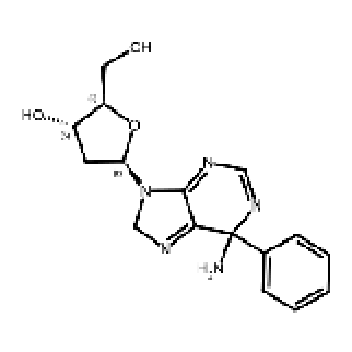 NC1(c2ccccc2)N=CN=C2C1=NCN2[C@H]1C[C@H](O)[C@@H](CO)O1